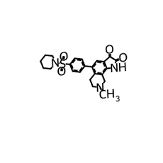 CN1CCc2c(-c3ccc(S(=O)(=O)N4CCCCC4)cc3)cc3c(c2C1)NC(=O)C3=O